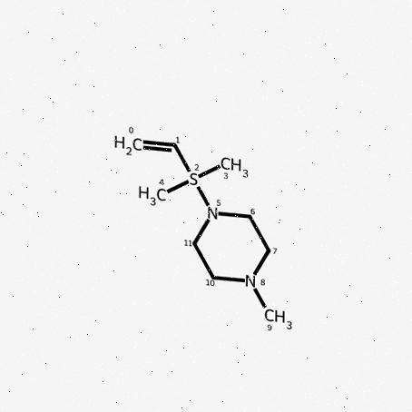 C=CS(C)(C)N1CCN(C)CC1